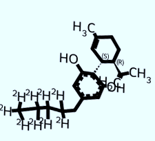 [2H]C([2H])([2H])C([2H])([2H])C([2H])([2H])C([2H])([2H])Cc1cc(O)c([C@@H]2C=C(C)CC[C@H]2C(=C)C)c(O)c1